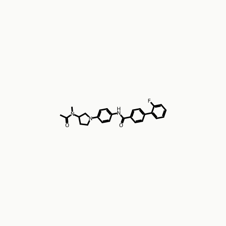 CC(=O)N(C)C1CCN(c2ccc(NC(=O)c3ccc(-c4ccccc4F)cc3)cc2)C1